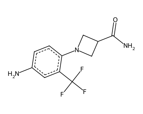 NC(=O)C1CN(c2ccc(N)cc2C(F)(F)F)C1